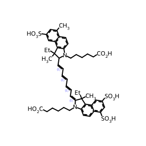 CCC1(C)\C(=C/C=C/C=C/C=C/C2N(CCCCCC(=O)O)c3ccc4c(C)cc(S(=O)(=O)O)cc4c3C2(C)CC)N(CCCCCC(=O)O)c2ccc3c(S(=O)(=O)O)cc(S(=O)(=O)O)cc3c21